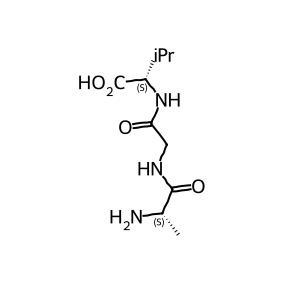 CC(C)[C@H](NC(=O)CNC(=O)[C@H](C)N)C(=O)O